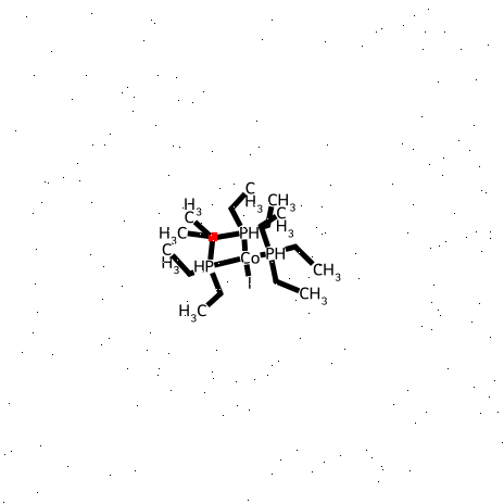 CC[PH](CC)(CC)[Co]([I])([PH](CC)(CC)CC)[PH](CC)(CC)CC